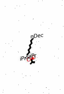 C=C(C)C(=O)O[Si](CCCCCCCCCCCCCCCCCC)(C(C)C)C(C)C